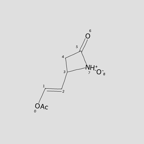 CC(=O)OC=CC1CC(=O)[NH+]1[O-]